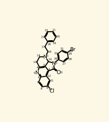 O=C1c2c3c(nc4ccc(Cl)cc24)CCN(CCc2ccccc2)C3N1c1ccc(Br)cc1